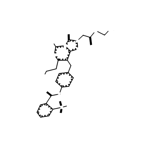 CCCc1nc(C)n2c(=O)n(CC(=O)OCC)nc2c1Cc1ccc(NC(=O)c2ccccc2S(=O)(=O)O)cc1